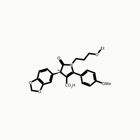 CCOCCCN1C(=O)[C@H](c2ccc3c(c2)OCO3)C(C(=O)O)=C1c1ccc(OC)cc1